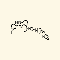 O=C(c1cccc2[nH]c(-c3cccc(F)c3)nc12)N1CC(N2CCN(Cc3cscn3)CC2)C1